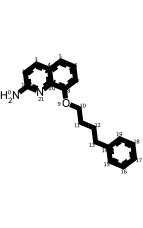 Nc1ccc2cccc(OCCCCc3ccccc3)c2n1